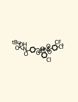 CC(C)(C)OC(=O)CNC(=O)c1ccc(CS(=O)(=O)c2ccc(Cl)cc2NS(=O)(=O)c2ccc(Cl)c(C(F)(F)F)c2)cc1